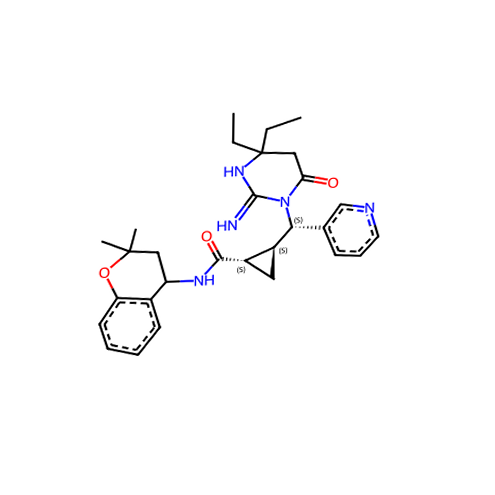 CCC1(CC)CC(=O)N([C@H](c2cccnc2)[C@H]2C[C@@H]2C(=O)NC2CC(C)(C)Oc3ccccc32)C(=N)N1